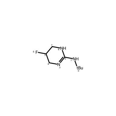 CC(C)(C)NC1=NCC(F)CN1